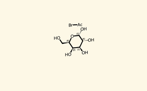 CC(=O)Br.OC[C@H]1O[C@H](O)[C@H](O)[C@@H](O)[C@H]1O